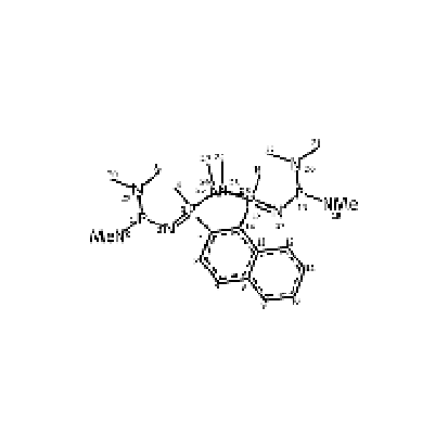 CNP(N=P(C)(c1ccc2ccccc2c1P(C)(=NP(NC)N(C)C)N(C)C)N(C)C)N(C)C